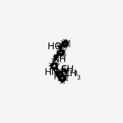 CN(C)c1nc(N[C@H]2CC[C@@H](CNCc3cccc(C(O)c4ccccc4)c3)CC2)nc2ccccc12